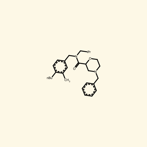 CCCCc1ccc(CN(CC(C)C)C(=O)C2CN(Cc3ccccc3)CCO2)cc1C